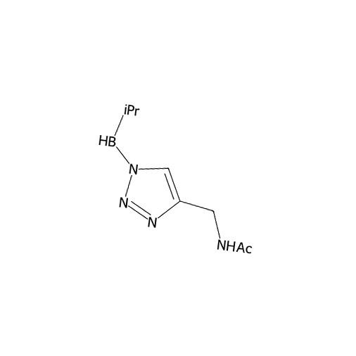 CC(=O)NCc1cn(BC(C)C)nn1